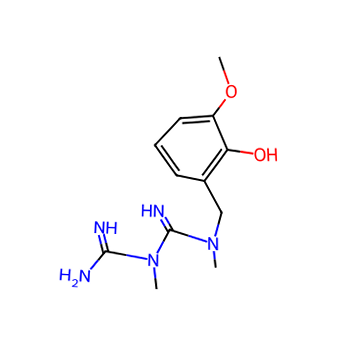 COc1cccc(CN(C)C(=N)N(C)C(=N)N)c1O